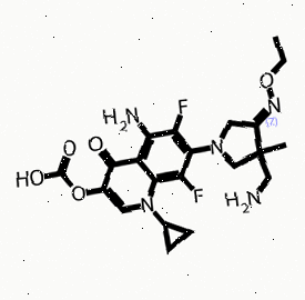 CCO/N=C1\CN(c2c(F)c(N)c3c(=O)c(OC(=O)O)cn(C4CC4)c3c2F)CC1(C)CN